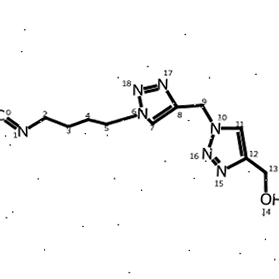 C=NCCCCn1cc(Cn2cc(CO)nn2)nn1